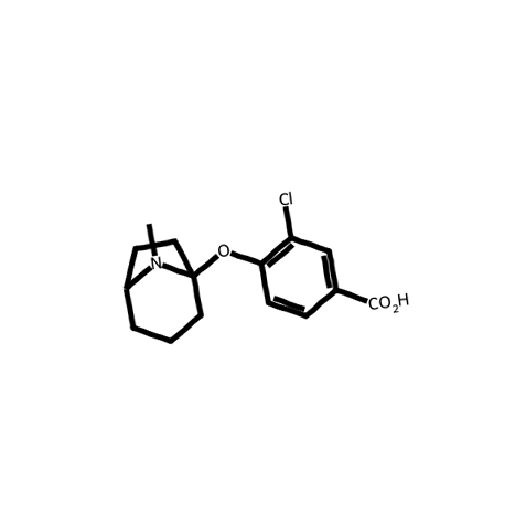 CN1C2CCCC1(Oc1ccc(C(=O)O)cc1Cl)CC2